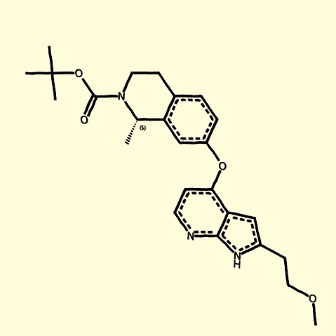 COCCc1cc2c(Oc3ccc4c(c3)[C@H](C)N(C(=O)OC(C)(C)C)CC4)ccnc2[nH]1